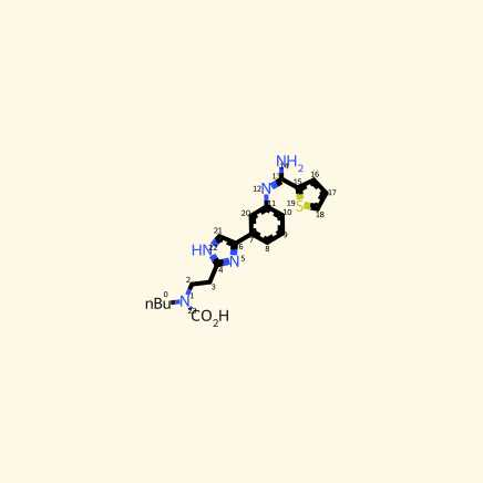 CCCCN(CCc1nc(-c2cccc(/N=C(/N)c3cccs3)c2)c[nH]1)C(=O)O